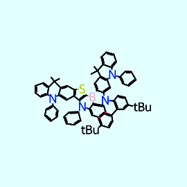 Cc1cc2c3c(c1)N(c1ccccc1)c1c(sc4cc5c(cc14)N(c1ccccc1)c1ccccc1C5(C)C)B3c1cc3c(cc1N2c1ccc(C(C)(C)C)cc1-c1ccc(C(C)(C)C)cc1)N(c1ccccc1)c1ccccc1C3(C)C